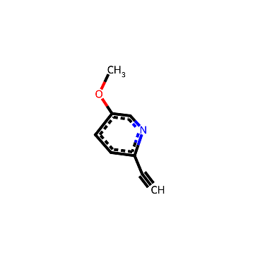 C#Cc1ccc(OC)cn1